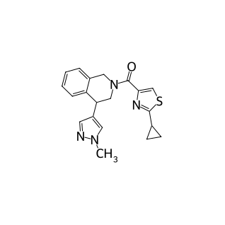 Cn1cc(C2CN(C(=O)c3csc(C4CC4)n3)Cc3ccccc32)cn1